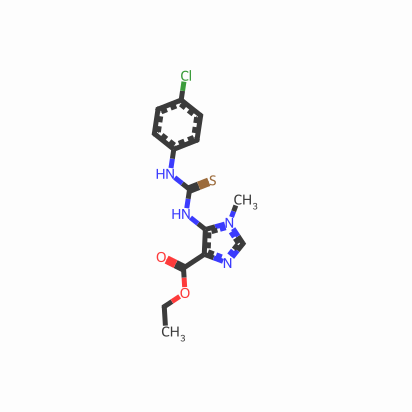 CCOC(=O)c1ncn(C)c1NC(=S)Nc1ccc(Cl)cc1